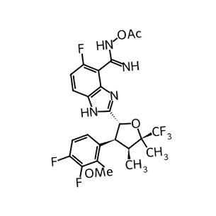 COc1c([C@H]2[C@H](c3nc4c(C(=N)NOC(C)=O)c(F)ccc4[nH]3)O[C@@](C)(C(F)(F)F)[C@H]2C)ccc(F)c1F